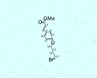 COC(=O)/C=C/c1ccc(OCCCCBr)cc1